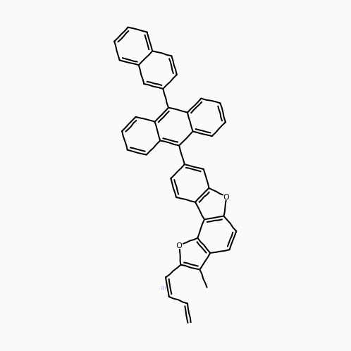 C=C/C=C\c1oc2c(ccc3oc4cc(-c5c6ccccc6c(-c6ccc7ccccc7c6)c6ccccc56)ccc4c32)c1C